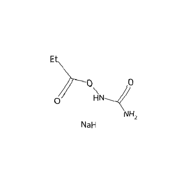 CCC(=O)ONC(N)=O.[NaH]